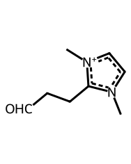 Cn1cc[n+](C)c1CCC=O